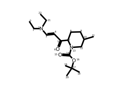 CCN(C=CC(=O)C1CCC(C)CN1C(=O)OC(C)(C)C)CC